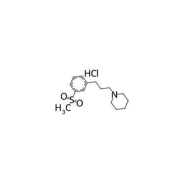 CS(=O)(=O)c1cccc(CCCN2CCCCC2)c1.Cl